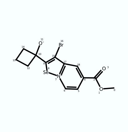 COC(=O)c1cc[n+]2[se]c(C3([O-])CCC3)c(Br)c2c1